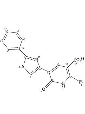 CCc1[nH]c(=O)c(-c2csc(-c3ccncc3)n2)cc1C(=O)O